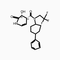 O=C1NC=C[C@@H](C(=O)N(CC(F)(F)F)C2CCC(c3ccccc3)CC2)[C@H]1O